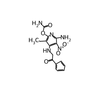 CCc1c(OC(N)=O)nc(N)c([N+](=O)[O-])c1NCC(=O)c1ccccc1